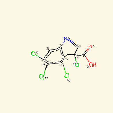 O=C(O)C1(Cl)C=Nc2cc(Cl)c(Cl)c(Cl)c21